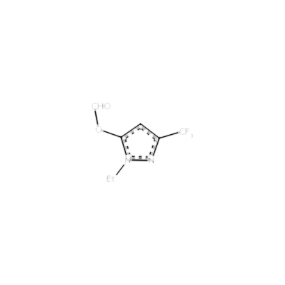 CCn1nc(C(F)(F)F)cc1OC=O